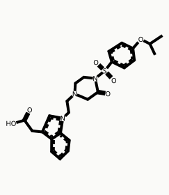 CC(C)Oc1ccc(S(=O)(=O)N2CCN(CCn3cc(CC(=O)O)c4ccccc43)CC2=O)cc1